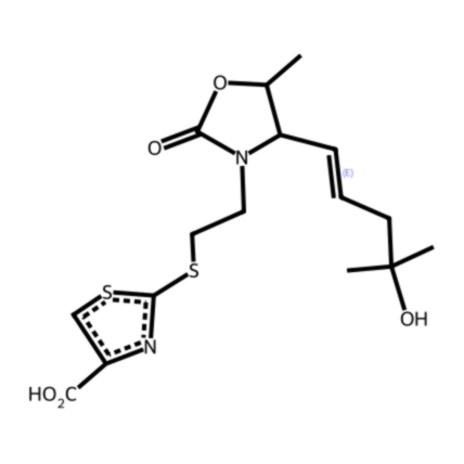 CC1OC(=O)N(CCSc2nc(C(=O)O)cs2)C1/C=C/CC(C)(C)O